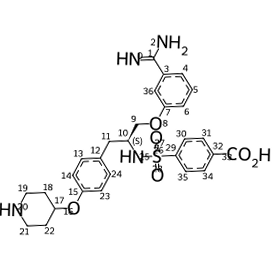 N=C(N)c1cccc(OC[C@H](Cc2ccc(OC3CCNCC3)cc2)NS(=O)(=O)c2ccc(C(=O)O)cc2)c1